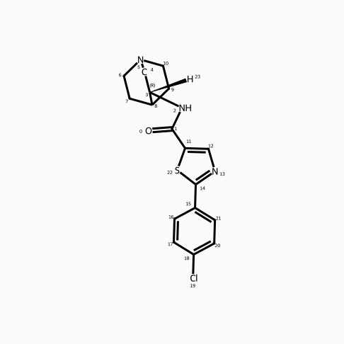 O=C(N[C@H]1CN2CCC1CC2)c1cnc(-c2ccc(Cl)cc2)s1